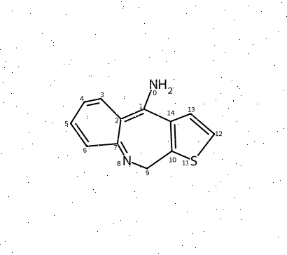 NC1=c2ccccc2=NCc2sccc21